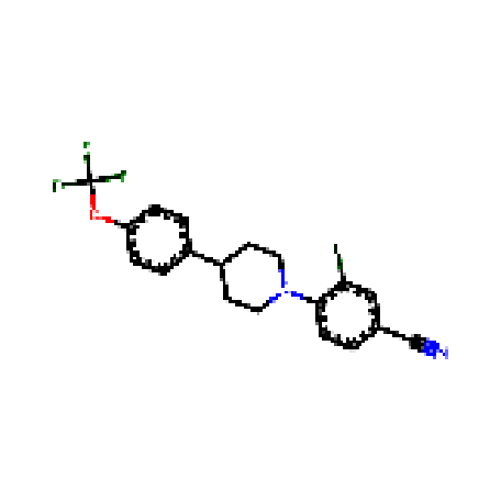 N#Cc1ccc(N2CCC(c3ccc(OC(F)(F)F)cc3)CC2)c(F)c1